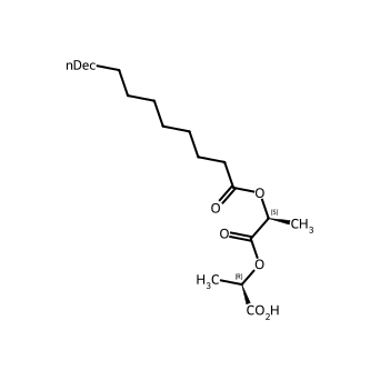 CCCCCCCCCCCCCCCCCC(=O)O[C@@H](C)C(=O)O[C@H](C)C(=O)O